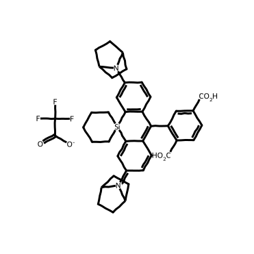 O=C(O)c1ccc(C(=O)O)c(C2=C3C=CC(=[N+]4C5CCC4CC5)C=C3[Si]3(CCCCC3)c3cc(N4C5CCC4CC5)ccc32)c1.O=C([O-])C(F)(F)F